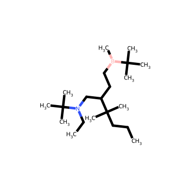 CCCC(C)(C)C(CCB(C)C(C)(C)C)CN(CC)C(C)(C)C